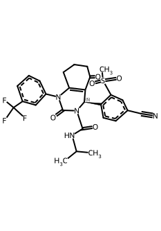 CC(C)NC(=O)N1C(=O)N(c2cccc(C(F)(F)F)c2)C2=C(C(=O)CCC2)[C@H]1c1ccc(C#N)cc1S(C)(=O)=O